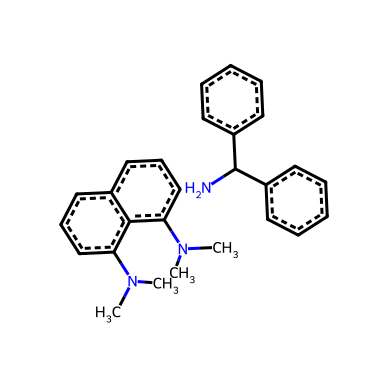 CN(C)c1cccc2cccc(N(C)C)c12.NC(c1ccccc1)c1ccccc1